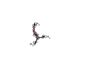 C=CC(=O)OCCCOc1ccc(C(=O)Oc2ccc3cc(OCC4CCC(OC(=O)C=C)CC4)ccc3c2CC)cc1OCCCOC(=O)C=C